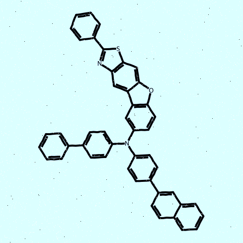 c1ccc(-c2ccc(N(c3ccc(-c4ccc5ccccc5c4)cc3)c3ccc4oc5cc6sc(-c7ccccc7)nc6cc5c4c3)cc2)cc1